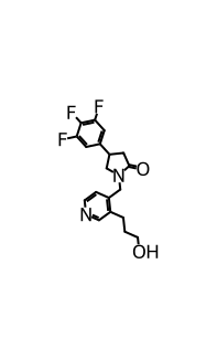 O=C1CC(c2cc(F)c(F)c(F)c2)CN1Cc1ccncc1CCCO